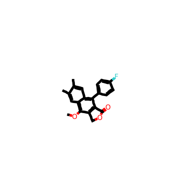 COc1c2c(c(-c3ccc(F)cc3)c3cc(C)c(C)cc13)C(=O)OC2